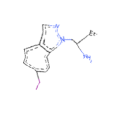 C[CH]C(N)n1ncc2ccc(I)cc21